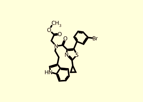 COC(=O)CN(CCc1c[nH]c2ccccc12)C(=O)c1nc(C2CC2)sc1-c1cccc(Br)c1